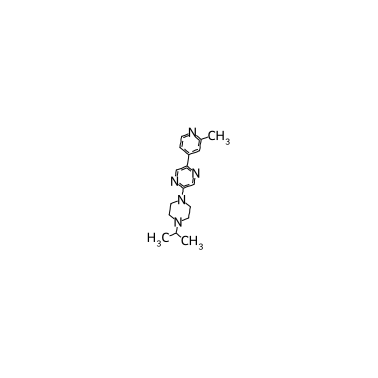 Cc1cc(-c2cnc(N3CCN(C(C)C)CC3)cn2)ccn1